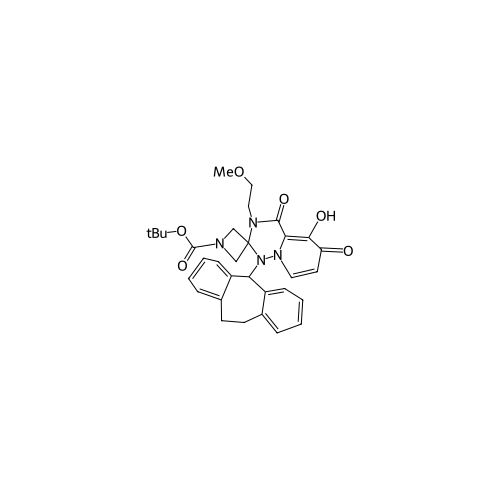 COCCN1C(=O)c2c(O)c(=O)ccn2N(C2c3ccccc3CCc3ccccc32)C12CN(C(=O)OC(C)(C)C)C2